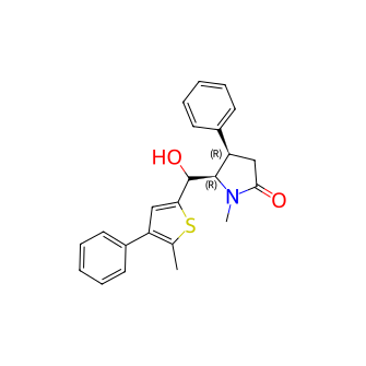 Cc1sc(C(O)[C@H]2[C@@H](c3ccccc3)CC(=O)N2C)cc1-c1ccccc1